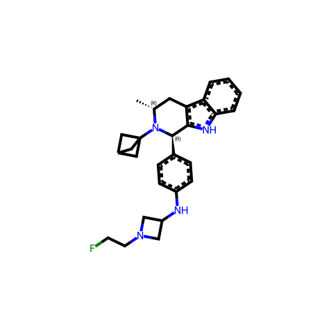 C[C@@H]1Cc2c([nH]c3ccccc23)[C@@H](c2ccc(NC3CN(CCF)C3)cc2)N1C12CC(C1)C2